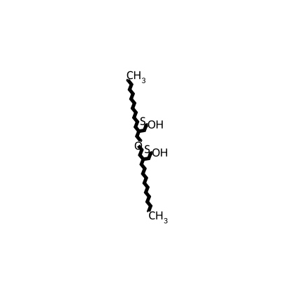 CCCCCCCCCCCCC(CCOCCC(CCCCCCCCCCCC)CC(O)=S)CC(O)=S